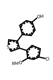 COc1cc(Cl)ccc1-c1cscc1-c1ccc(O)cc1